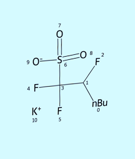 CCCCC(F)C(F)(F)S(=O)(=O)[O-].[K+]